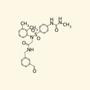 CNC(=O)Nc1ccc(S(=O)(=O)N(CC(=O)NCc2cccc(C=O)c2)c2cccc(C)c2C)cc1